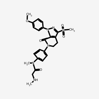 CNCC(=O)N(C)c1ccc(N2CCc3c(S(C)(=O)=O)nn(-c4ccc(OC)cc4)c3C2=O)cc1